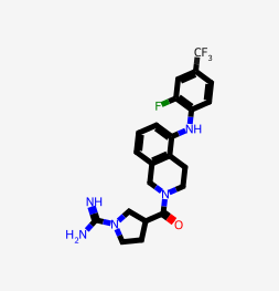 N=C(N)N1CCC(C(=O)N2CCc3c(cccc3Nc3ccc(C(F)(F)F)cc3F)C2)C1